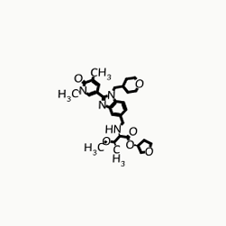 CO[C@H](C)[C@H](NCc1ccc2c(c1)nc(-c1cc(C)c(=O)n(C)c1)n2CC1CCOCC1)C(=O)O[C@H]1CCOC1